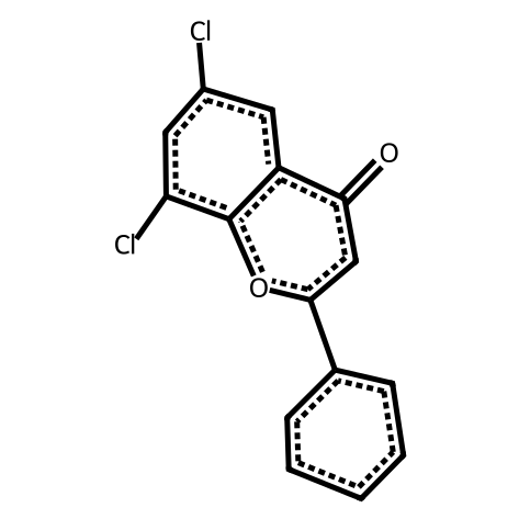 O=c1cc(-c2ccccc2)oc2c(Cl)cc(Cl)cc12